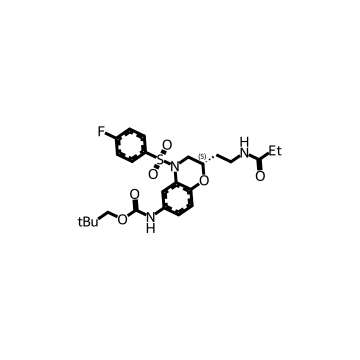 CCC(=O)NCC[C@H]1CN(S(=O)(=O)c2ccc(F)cc2)c2cc(NC(=O)OCC(C)(C)C)ccc2O1